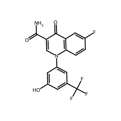 NC(=O)c1cn(-c2cc(O)cc(C(F)(F)F)c2)c2ccc(F)cc2c1=O